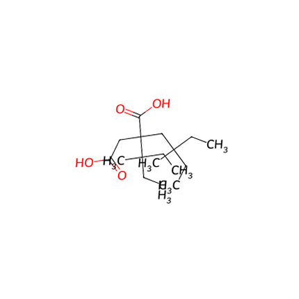 CCC(C)(CC)CC(CC(=O)O)(C(=O)O)C(C)(CC)CC